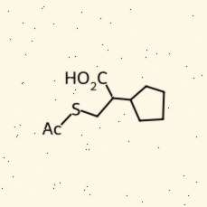 CC(=O)SCC(C(=O)O)C1CCCC1